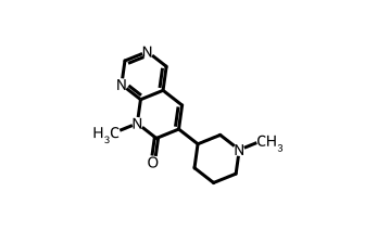 CN1CCCC(c2cc3cncnc3n(C)c2=O)C1